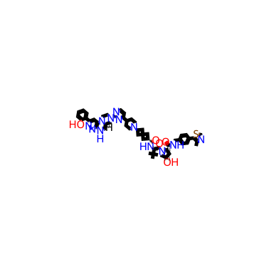 Cc1ncsc1-c1ccc(CNC(=O)[C@@H]2C[C@@H](O)CN2C(=O)[C@@H](NC(=O)[C@H]2CC3(C2)C[C@H](N2CCC(c4ccnc(N5CCN6c7cc(-c8ccccc8O)nnc7NC[C@@H]6C5)n4)CC2)C3)C(C)(C)C)cc1